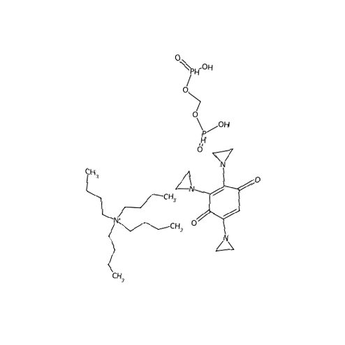 CCCC[N+](CCCC)(CCCC)CCCC.O=C1C=C(N2CC2)C(=O)C(N2CC2)=C1N1CC1.O=[PH](O)OCO[PH](=O)O